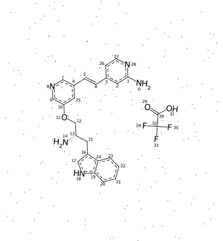 Nc1cc(C=Cc2cncc(OC[C@@H](N)Cc3c[nH]c4ccccc34)c2)ccn1.O=C(O)C(F)(F)F